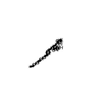 C#CCOCCOCCOCCOCCN1CCN(CCCN(CCCNC(=O)OC(C)(C)C)C(=O)c2c[nH]cn2)CC1